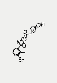 Cc1c(Br)cccc1-c1nc2c(o1)CN(C(=O)CN1CC[C@@H](O)C1)C2